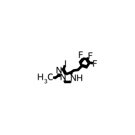 CCc1nc(I)c2n1CCNC2CCc1cc(F)c(F)c(F)c1